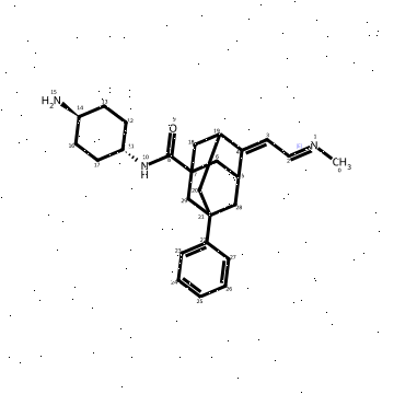 C/N=C/C=C1C2CC3(C(=O)N[C@H]4CC[C@H](N)CC4)CC1CC(c1ccccc1)(C2)C3